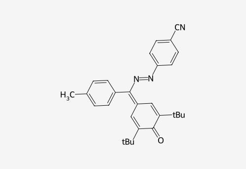 Cc1ccc(C(N=Nc2ccc(C#N)cc2)=C2C=C(C(C)(C)C)C(=O)C(C(C)(C)C)=C2)cc1